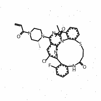 C=CC(=O)N1CCN(c2nc(=O)n3c4nc(c(Cl)cc24)-c2c(F)cccc2NC(=O)CCSc2cccc(C(C)C)c2-3)[C@H](C)C1